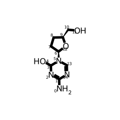 NC1=NC(O)N([C@H]2CC[C@@H](CO)O2)C=N1